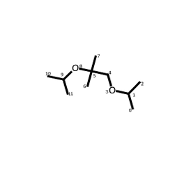 CC(C)OCC(C)(C)OC(C)C